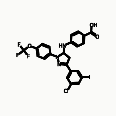 O=C(O)c1ccc(NC2CC(c3cc(Cl)cc(I)c3)=NN2c2ccc(OC(F)(F)F)cc2)cc1